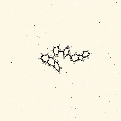 c1cc(-c2nsc(-c3ccc4sc5ccccc5c4c3)n2)cc(N2c3ccccc3Sc3ccccc32)c1